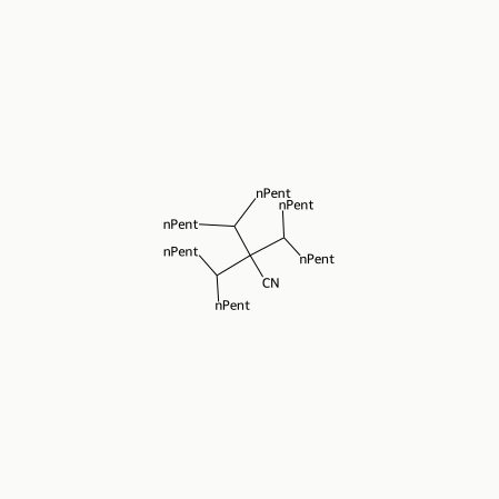 CCCCCC(CCCCC)C(C#N)(C(CCCCC)CCCCC)C(CCCCC)CCCCC